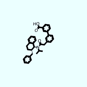 CC(C)N(C(=O)Cc1cccc(-c2cccc(C(=O)O)c2)c1)[C@@H]1c2ccccc2CC[C@H]1Cc1ccccc1